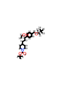 CC(C)(C)OC(=O)N1CCC(CCCc2ccc(CO[Si](C)(C)C(C)(C)C)cc2)CC1.CCO